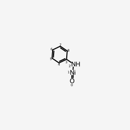 [O]=[Ni][NH]c1ccccc1